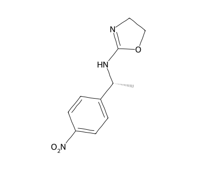 C[C@@H](NC1=NCCO1)c1ccc([N+](=O)[O-])cc1